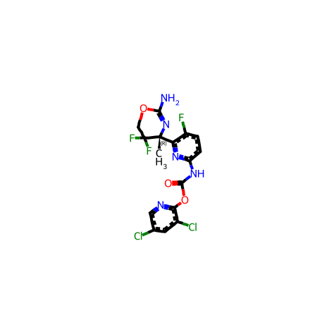 C[C@]1(c2nc(NC(=O)Oc3ncc(Cl)cc3Cl)ccc2F)N=C(N)OCC1(F)F